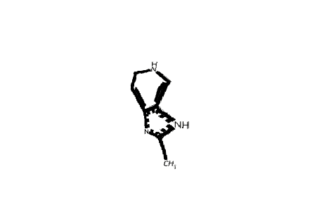 Cc1nc2c([nH]1)=CNCC=2